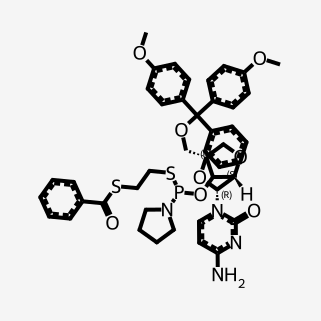 COc1ccc(C(OC[C@]23CO[C@@H](C2OP(SCCSC(=O)c2ccccc2)N2CCCC2)[C@H](n2ccc(N)nc2=O)O3)(c2ccccc2)c2ccc(OC)cc2)cc1